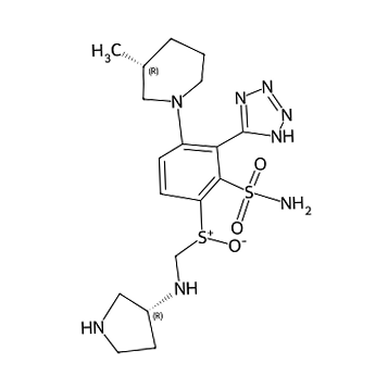 C[C@@H]1CCCN(c2ccc([S+]([O-])CN[C@@H]3CCNC3)c(S(N)(=O)=O)c2-c2nnn[nH]2)C1